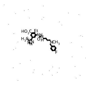 CCc1c(NC(=O)NCCCCN(C)Cc2ccc(F)cc2)cc(-c2nnnn2C)cc1C(=O)O